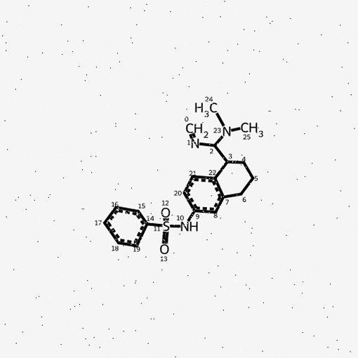 C=NC(C1CCCc2cc(NS(=O)(=O)c3ccccc3)ccc21)N(C)C